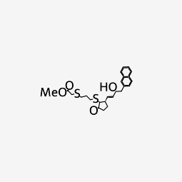 COC(=O)CSCCCSC1C(=O)CC[C@@H]1C=CC(O)Cc1ccc2ccccc2c1